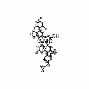 Cc1cc(C)c(-c2cc([C@@H](CC(=O)O)NC(=O)[C@H](CC(C)C)n3cc(C4CCN(CC5CC5)CC4)c(C(F)(F)F)cc3=O)cc3c2CCC3)c(C)c1